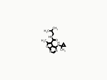 Cc1oc2ncnc(NC3(C)CC3)c2c1C(=O)NCC(C)C